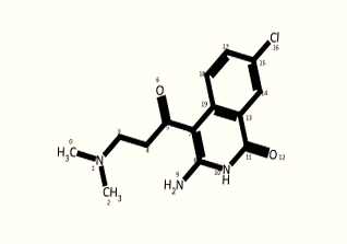 CN(C)CCC(=O)c1c(N)[nH]c(=O)c2cc(Cl)ccc12